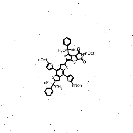 CCCCCCCCCc1ccc(-c2c3cc([C@](C)(CCC)c4ccccc4)sc3c(-c3ccc(CCCCCCCC)s3)c3cc(-c4sc(C(C)(CCCC)c5ccccc5)c5c6c(sc45)C(=O)N(CCCCCCCC)C6=O)sc23)s1